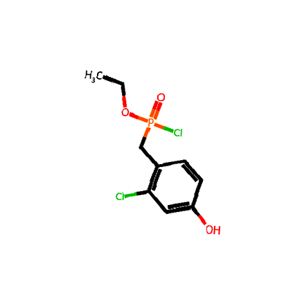 CCOP(=O)(Cl)Cc1ccc(O)cc1Cl